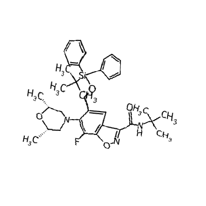 C[C@@H]1CN(c2c(CO[Si](c3ccccc3)(c3ccccc3)C(C)(C)C)cc3c(C(=O)NC(C)(C)C)noc3c2F)C[C@H](C)O1